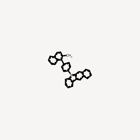 Cc1ccc2ccccc2c1-c1ccc(-n2c3ccccc3c3cc4ccccc4cc32)cc1